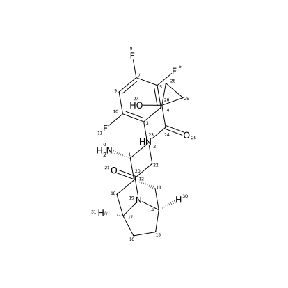 N[C@H](Cc1cc(F)c(F)cc1F)[C@@H]1C[C@H]2CC[C@@H](C1)N2C(=O)CNC(=O)C1(O)CC1